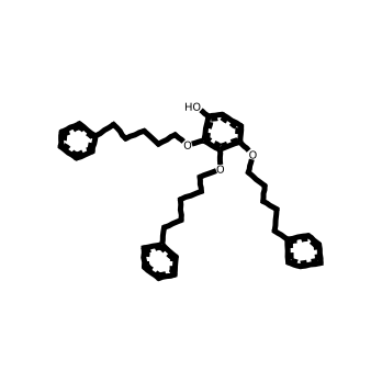 Oc1ccc(OCCCCCc2ccccc2)c(OCCCCCc2ccccc2)c1OCCCCCc1ccccc1